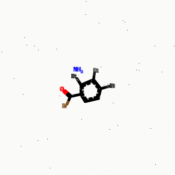 CCc1ccc(C(=O)Br)c(CC)c1CC.N